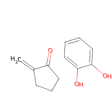 C=C1CCCC1=O.Oc1ccccc1O